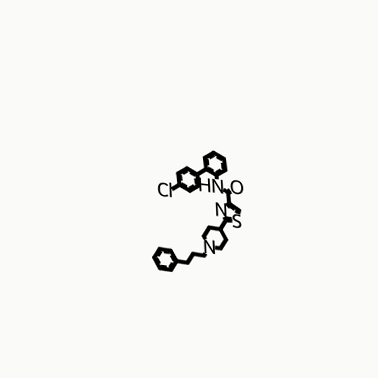 O=C(Nc1ccccc1-c1ccc(Cl)cc1)c1csc(C2CCN(CCCc3ccccc3)CC2)n1